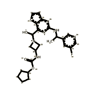 CC(Nc1nc(C(O)N2CC(NC(=O)OC3CCCC3)C2)c2sccc2n1)c1cncc(F)c1